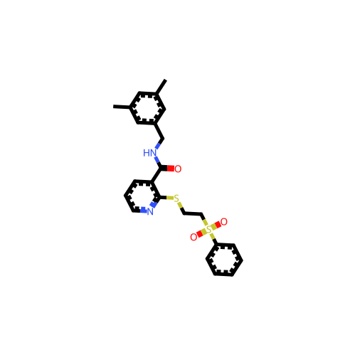 Cc1cc(C)cc(CNC(=O)c2cccnc2SCCS(=O)(=O)c2ccccc2)c1